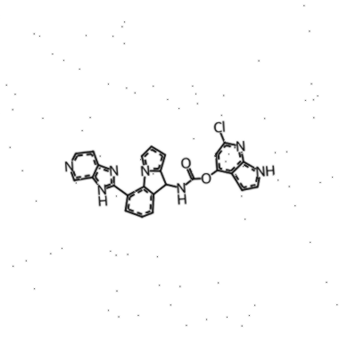 O=C(NC1c2cccc(-c3nc4ccncc4[nH]3)c2-n2cccc21)Oc1cc(Cl)nc2[nH]ccc12